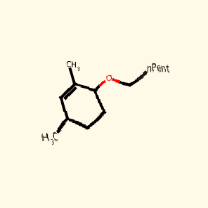 CCCCCCOC1CCC(C)C=C1C